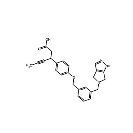 CC#CC(CC(=O)O)c1ccc(OCc2cccc(CN3Cc4cn[nH]c4C3)c2)cc1